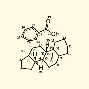 C[C@@]12CCC[C@H]1[C@@H]1CCC3CCCC[C@]3(C)[C@H]1CC2.O=C(O)c1ccccc1